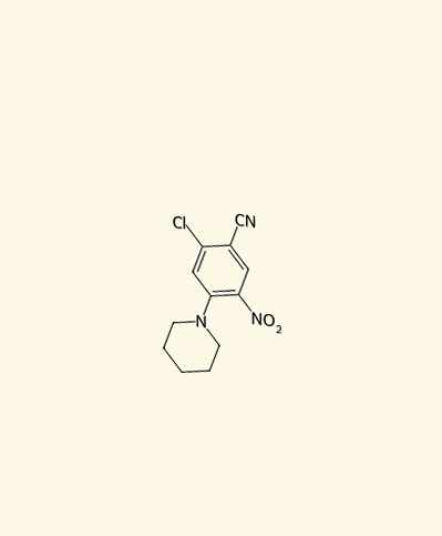 N#Cc1cc([N+](=O)[O-])c(N2CCCCC2)cc1Cl